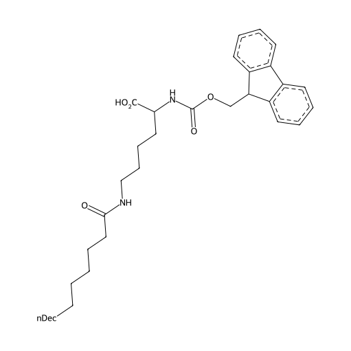 CCCCCCCCCCCCCCCC(=O)NCCCCC(NC(=O)OCC1c2ccccc2-c2ccccc21)C(=O)O